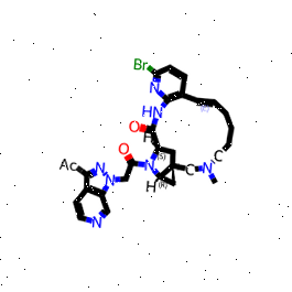 CC(=O)c1nn(CC(=O)N2[C@H]3C[C@]4(C[C@@H]24)CN(C)CCCC/C=C/c2ccc(Br)nc2NC3=O)c2cnccc12